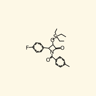 CC[Si](CC)(CC)OC1C(=O)N(C(=O)c2ccc(C)cc2)C1c1ccc(F)cc1